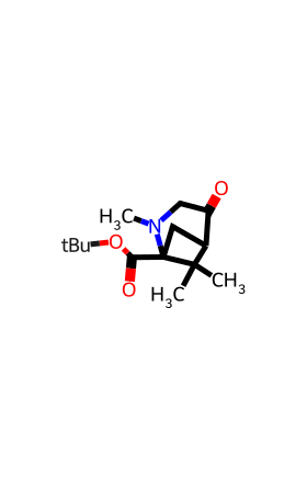 CN1CC(=O)C2CC1(C(=O)OC(C)(C)C)C2(C)C